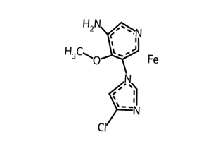 COc1c(N)cncc1-n1cnc(Cl)c1.[Fe]